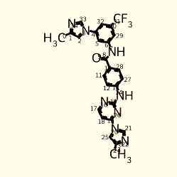 Cc1cn(-c2cc(NC(=O)c3ccc(Nc4nccc(-n5cnc(C)c5)n4)cc3)cc(C(F)(F)F)c2)cn1